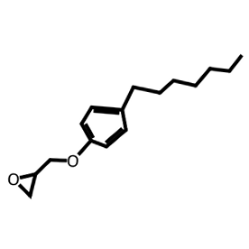 CCCCCCCc1ccc(OCC2CO2)cc1